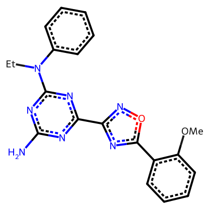 CCN(c1ccccc1)c1nc(N)nc(-c2noc(-c3ccccc3OC)n2)n1